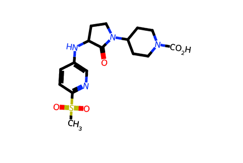 CS(=O)(=O)c1ccc(NC2CCN(C3CCN(C(=O)O)CC3)C2=O)cn1